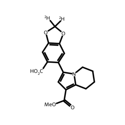 [2H]C1([2H])Oc2cc(C(=O)O)c(-c3cc(C(=O)OC)c4n3CCCC4)cc2O1